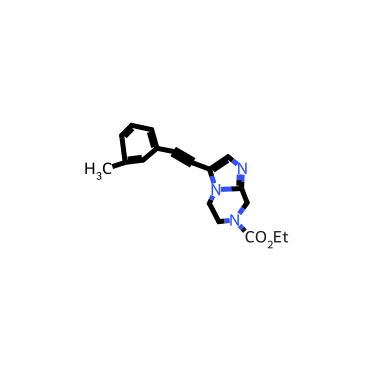 CCOC(=O)N1CCn2c(C#Cc3cccc(C)c3)cnc2C1